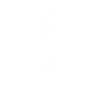 COc1cc(/C=C2/C(C)=C(C(NC3CCN(C)C3)C(=O)NCc3ccco3)c3cc(F)ccc32)cc(OC)c1O